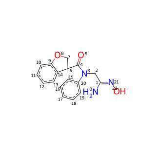 N/C(CN1C(=O)C2(COc3ccccc32)c2ccccc21)=N\O